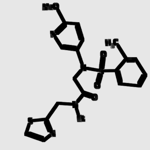 CCN(Cc1nccs1)C(=O)CN(c1ccc(OC)nc1)S(=O)(=O)c1ccccc1C